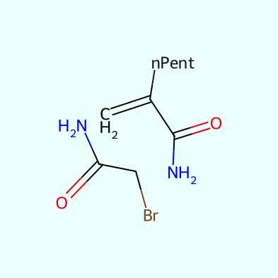 C=C(CCCCC)C(N)=O.NC(=O)CBr